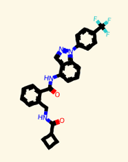 O=C(Nc1cccc2c1cnn2-c1ccc(C(F)(F)F)cc1)c1ccccc1CNC(=O)C1CCC1